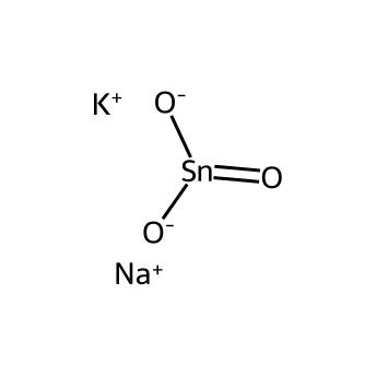 [K+].[Na+].[O]=[Sn]([O-])[O-]